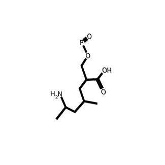 CC(N)CC(C)CC(COP=O)C(=O)O